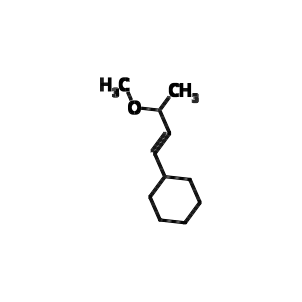 COC(C)C=CC1CCCCC1